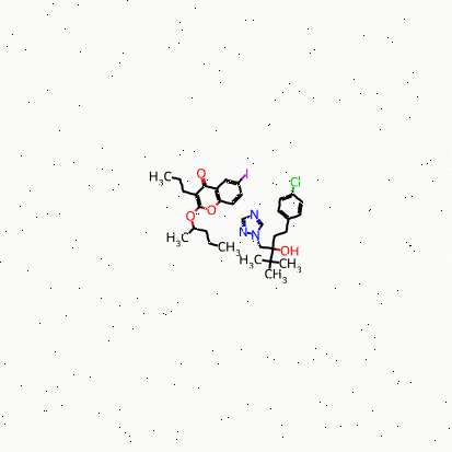 CC(C)(C)C(O)(CCc1ccc(Cl)cc1)Cn1cncn1.CCCc1c(OC(C)CCC)oc2ccc(I)cc2c1=O